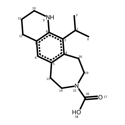 CC(C)c1c2c(cc3c1NCCC3)CCN(C(=O)O)CC2